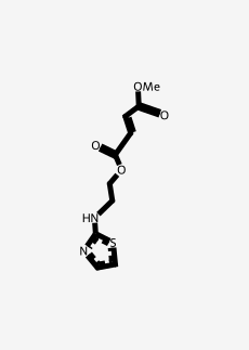 COC(=O)/C=C/C(=O)OCCNc1nccs1